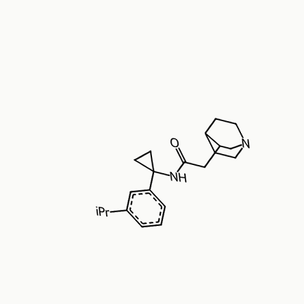 CC(C)c1cccc(C2(NC(=O)CC3CN4CCC3CC4)CC2)c1